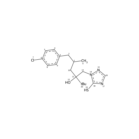 CC(Cc1ccc(Cl)cc1)CC(O)(Cn1ncnc1S)C(C)(C)C